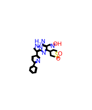 Nc1c(/C=N/O)c(C2CCS(=O)(=O)CC2)nc2c(-c3ccc(-c4ccccc4)nc3)cnn12